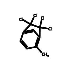 Cc1ccc2cc1C(Cl)(Cl)C2(Cl)Cl